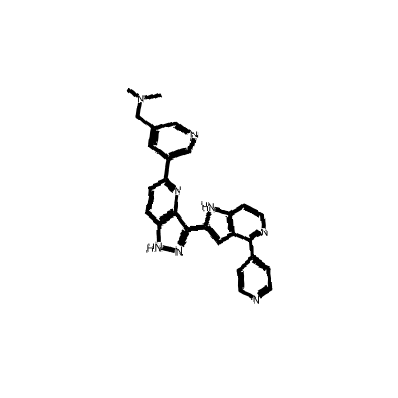 CN(C)Cc1cncc(-c2ccc3[nH]nc(-c4cc5c(-c6ccncc6)nccc5[nH]4)c3n2)c1